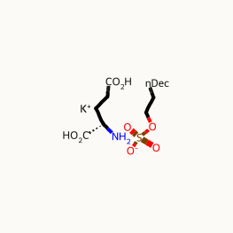 CCCCCCCCCCCCOS(=O)(=O)[O-].N[C@@H](CCC(=O)O)C(=O)O.[K+]